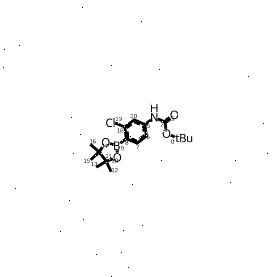 CC(C)(C)OC(=O)Nc1ccc(B2OC(C)(C)C(C)(C)O2)c(Cl)c1